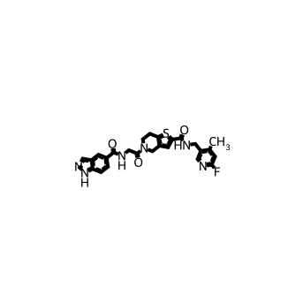 Cc1cc(F)ncc1CNC(=O)c1cc2c(s1)CCN(C(=O)CNC(=O)c1ccc3[nH]ncc3c1)C2